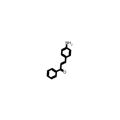 Nc1ccc(/C=C/C(=O)c2ccccc2)cc1